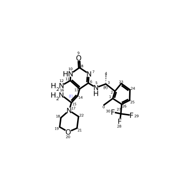 Cc1c([C@@H](C)Nc2nc(=O)[nH]c(N)c2/C=C(\N)N2CCOCC2)cccc1C(F)(F)F